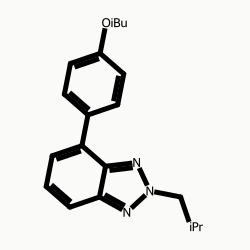 CC(C)COc1ccc(-c2cccc3nn(CC(C)C)nc23)cc1